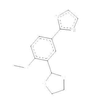 COc1ccc(-c2ncc[nH]2)cc1C1OCCO1